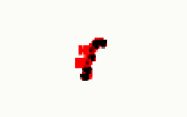 OC(COc1ccc(Oc2ccccc2)cc1)COc1cccc(OCC(O)COc2ccc(Oc3ccccc3)cc2)c1